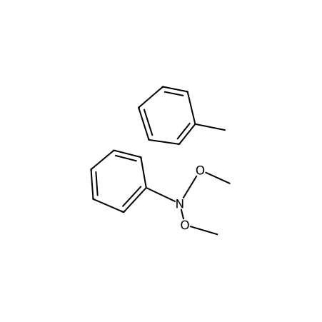 CON(OC)c1ccccc1.Cc1ccccc1